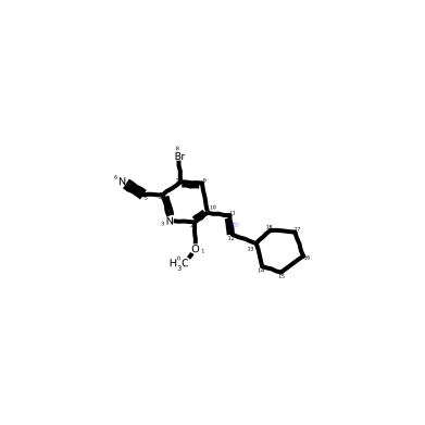 COc1nc(C#N)c(Br)cc1/C=C/C1CCCCC1